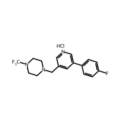 Cl.Fc1ccc(-c2cncc(CN3CCN(C(F)(F)F)CC3)c2)cc1